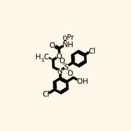 CCCNC(=O)O[C@H](C)CN(c1cc(Cl)ccc1CO)S(=O)(=O)c1ccc(Cl)cc1